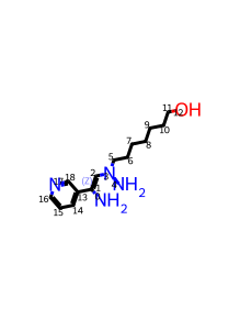 N/C(=C\N(N)CCCCCCCO)c1cccnc1